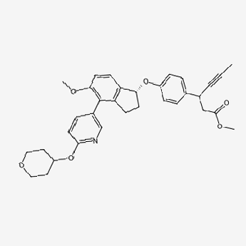 CC#CC(CC(=O)OC)c1ccc(O[C@@H]2CCc3c2ccc(OC)c3-c2ccc(OC3CCOCC3)nc2)cc1